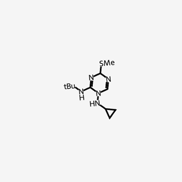 CSC1N=CN(NC2CC2)C(NC(C)(C)C)=N1